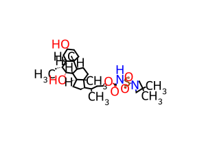 CC[C@H]1[C@@H](O)[C@@H]2[C@H](CC[C@]3(C)[C@@H]([C@H](C)CCOC(=O)NS(=O)(=O)N4CC(C)(C)C4)CC[C@@H]23)[C@@]2(C)CC[C@@H](O)C[C@@H]12